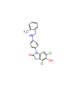 O=C1Cc2c(cc(Cl)c(O)c2Cl)N1c1ccc(NCc2ccccc2C(F)(F)F)cc1